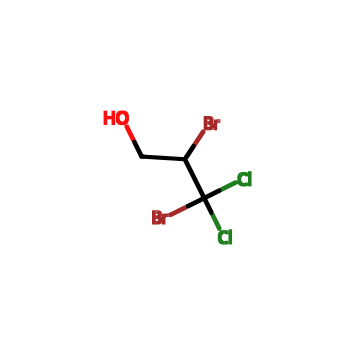 OCC(Br)C(Cl)(Cl)Br